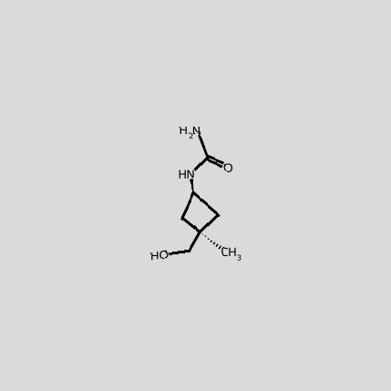 C[C@]1(CO)C[C@@H](NC(N)=O)C1